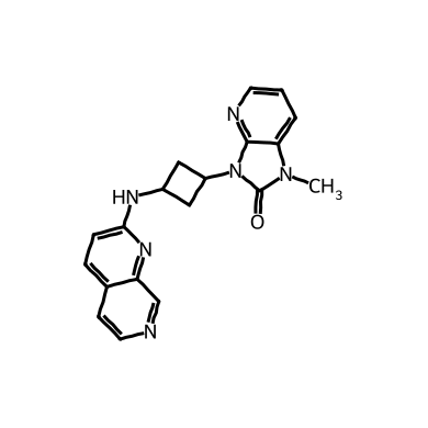 Cn1c(=O)n(C2CC(Nc3ccc4ccncc4n3)C2)c2ncccc21